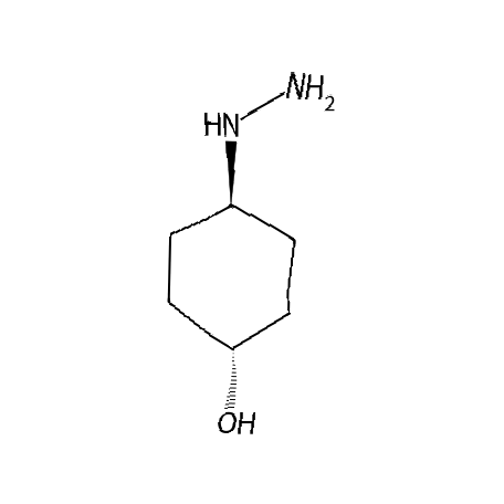 NN[C@H]1CC[C@H](O)CC1